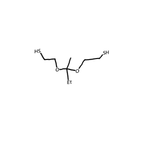 CCC(C)(OCCS)OCCS